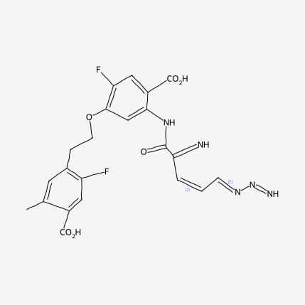 Cc1cc(CCOc2cc(NC(=O)C(=N)/C=C\C=N\N=N)c(C(=O)O)cc2F)c(F)cc1C(=O)O